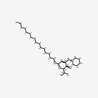 CCCCCCCCCCCCCCCCOC1C=C(CN2CCCCC2)C(=O)C(C(C)C)O1